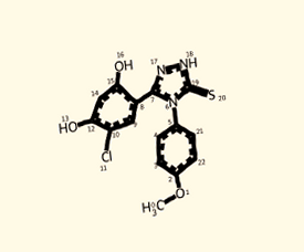 COc1ccc(-n2c(-c3cc(Cl)c(O)cc3O)n[nH]c2=S)cc1